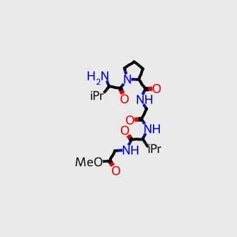 COC(=O)CNC(=O)C(NC(=O)CNC(=O)C1CCCN1C(=O)C(N)C(C)C)C(C)C